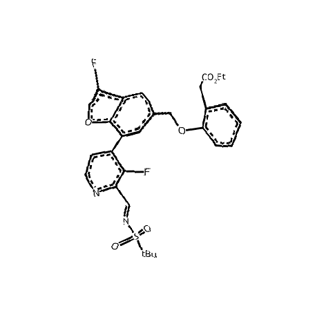 CCOC(=O)Cc1ccccc1OCc1cc(-c2ccnc(C=NS(=O)(=O)C(C)(C)C)c2F)c2occ(F)c2c1